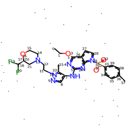 CCOc1nc(Nc2cnn(CCN3CCO[C@H](C(F)F)C3)c2C)nc2c1ccn2S(=O)(=O)c1ccc(C)cc1